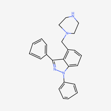 c1ccc(-c2nn(-c3ccccc3)c3cccc(CN4CCNCC4)c23)cc1